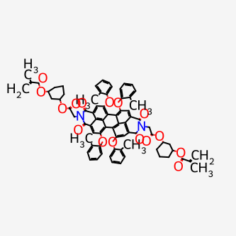 C=C(C)C(=O)OC1CCCC(OC(=O)CN2C(=O)c3cc(Oc4ccccc4C)c4c5c(Oc6ccccc6C)cc6c7c(cc(Oc8ccccc8C)c(c8c(Oc9ccccc9C)cc(c3c48)C2=O)c75)C(=O)N(CC(=O)OC2CCCC(OC(=O)C(=C)C)C2)C6=O)C1